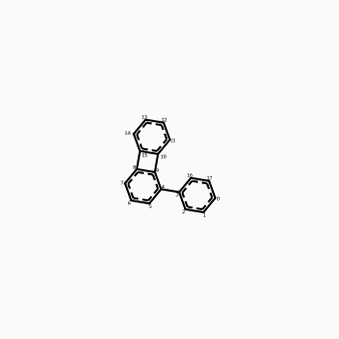 c1ccc(-c2cccc3c2-c2ccccc2-3)cc1